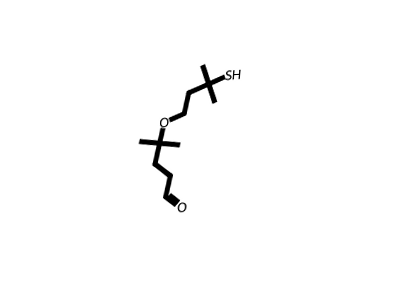 CC(C)(S)CCOC(C)(C)CCC=O